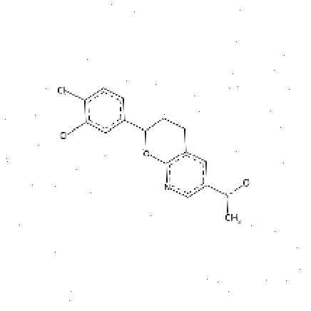 C[S+]([O-])c1cnc2c(c1)CCC(c1ccc(Cl)c(Cl)c1)O2